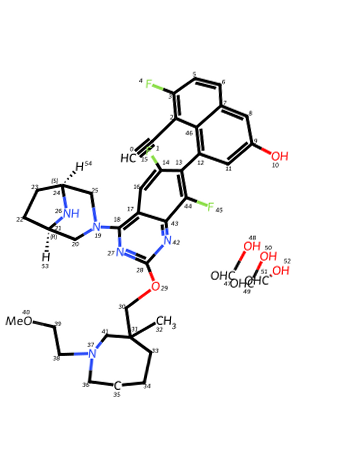 C#Cc1c(F)ccc2cc(O)cc(-c3c(F)cc4c(N5C[C@H]6CC[C@@H](C5)N6)nc(OCC5(C)CCCCN(CCOC)C5)nc4c3F)c12.O=CO.O=CO.O=CO